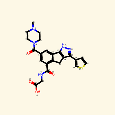 CN1CCN(C(=O)c2cc(C(=O)NCC(=O)O)c3c(c2)-c2[nH]nc(-c4ccsc4)c2C3)CC1